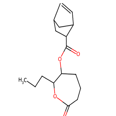 CCCC1OC(=O)CCCC1OC(=O)C1CC2C=CC1C2